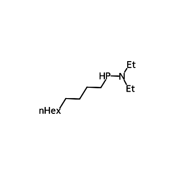 CCCCCCCCCCPN(CC)CC